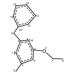 CCOc1cc(C)nc(Cc2ccccc2)n1